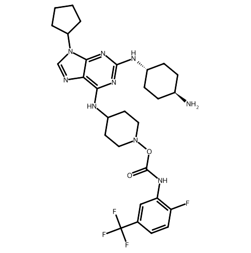 N[C@H]1CC[C@H](Nc2nc(NC3CCN(OC(=O)Nc4cc(C(F)(F)F)ccc4F)CC3)c3ncn(C4CCCC4)c3n2)CC1